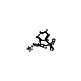 CN=Nc1ccccc1S(=O)(=O)Cl